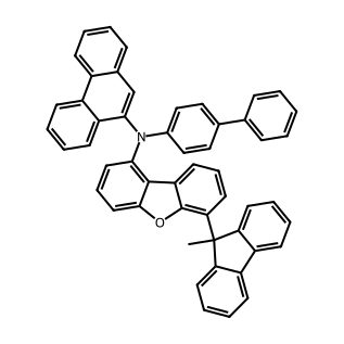 CC1(c2cccc3c2oc2cccc(N(c4ccc(-c5ccccc5)cc4)c4cc5ccccc5c5ccccc45)c23)c2ccccc2-c2ccccc21